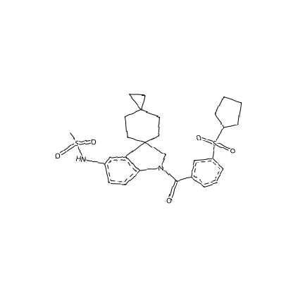 CS(=O)(=O)Nc1ccc2c(c1)C1(CCC3(CC3)CC1)CN2C(=O)c1cccc(S(=O)(=O)C2CCCC2)c1